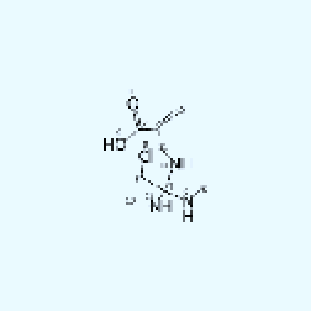 C=CC(=O)O.CNC(CCl)(NC)NC